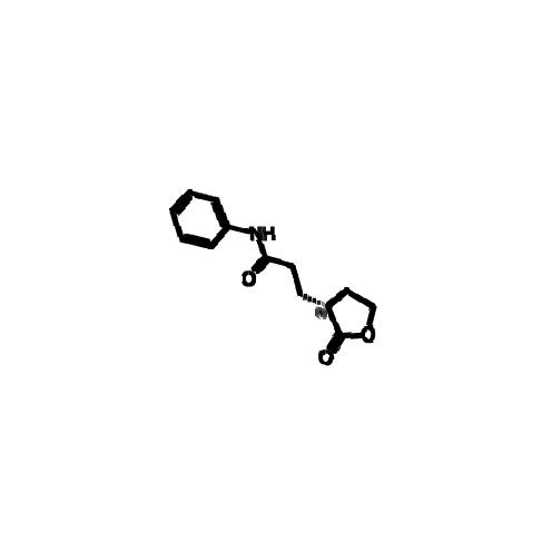 O=C(CC[C@@H]1CCOC1=O)Nc1ccccc1